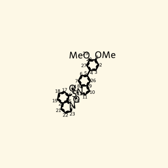 COc1ccc(-c2ccc3c(ccn3S(=O)(=O)c3cccc4cccnc34)c2)cc1OC